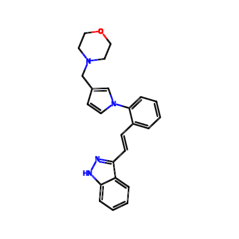 C(=Cc1n[nH]c2ccccc12)c1ccccc1-n1ccc(CN2CCOCC2)c1